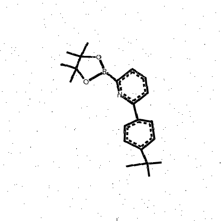 CC(C)(C)c1ccc(-c2cccc(B3OC(C)(C)C(C)(C)O3)n2)cc1